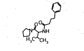 CC(C)C(NC(=O)CCCc1ccccc1)C(=O)N1CCCC1